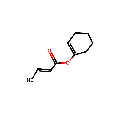 N#CC=CC(=O)OC1=CCCCC1